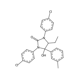 CCC1N(c2ccc(Cl)cc2)C(=O)N(c2ccc(Cl)cc2)C1(O)c1cccc(C)c1